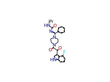 CC(C)NC(=O)/N=C(\c1ccccc1)N1CCN(C(=O)C(=O)c2c[nH]c3cccc(F)c23)CC1